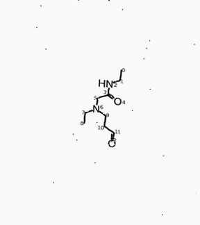 CCNC(=O)CN(CC)CCC=O